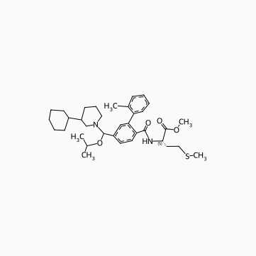 COC(=O)[C@H](CCSC)NC(=O)c1ccc(C(OC(C)C)N2CCCC(C3CCCCC3)C2)cc1-c1ccccc1C